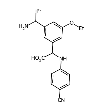 CCOc1cc(C(Nc2ccc(C#N)cc2)C(=O)O)cc(C(N)C(C)C)c1